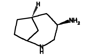 N[C@H]1CNC2CC[C@H](C2)C1